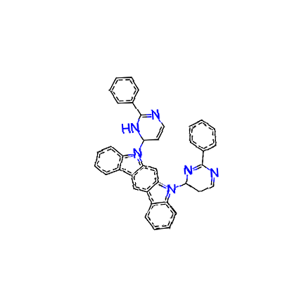 C1=CC(n2c3ccccc3c3cc4c5ccccc5n(C5CC=NC(c6ccccc6)=N5)c4cc32)NC(c2ccccc2)=N1